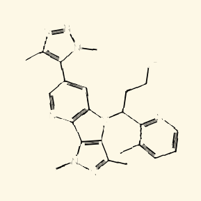 Cc1cccnc1C(CCC(F)(F)F)n1c2cc(-c3c(C)nnn3C)cnc2c2c1c(C)nn2C